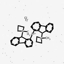 C[Si]1(C2c3ccccc3-c3ccc[c]([Zr+2][c]4cccc5c4C([Si]4(C)CCC4)c4ccccc4-5)c32)CCC1.[Cl-].[Cl-]